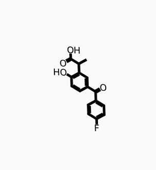 CC(C(=O)O)c1cc(C(=O)c2ccc(F)cc2)ccc1O